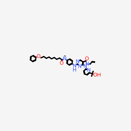 C=CCn1c(=O)c2cnc(Nc3ccc(N(C)C(=O)CCCCCCCCOc4ccccc4)cc3)nc2n1-c1cccc(C(C)(C)O)n1